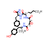 NC(=O)[C@H](Cc1ccccc1)NC(=O)[C@H](CCCC(=O)O)NC(=O)[C@H]1O[C@@H]1C(=O)N[C@@H](Cc1ccc(O)cc1)C(=O)O